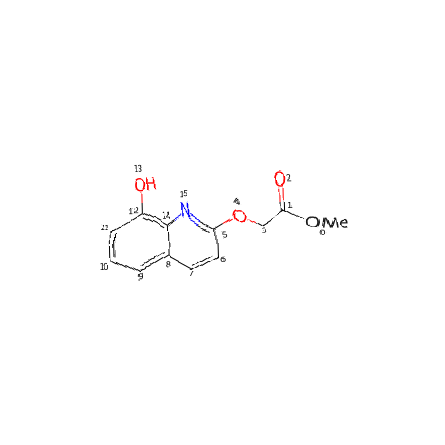 COC(=O)COc1ccc2cccc(O)c2n1